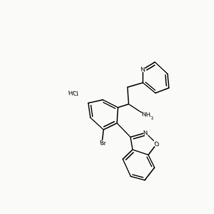 Cl.NC(Cc1ccccn1)c1cccc(Br)c1-c1noc2ccccc12